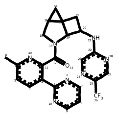 Cc1ccc(-c2ncccn2)c(C(=O)N2CC3CC34CC(Nc3cnc(C(F)(F)F)cn3)C24)n1